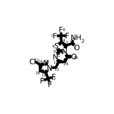 NC(=O)c1c(C(F)(F)F)sc2nc(Cn3nc(Cl)cc3C(F)(F)F)cc(=O)n12